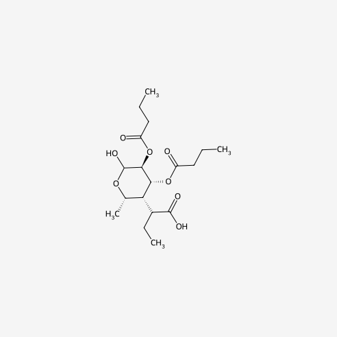 CCCC(=O)O[C@@H]1[C@H](C(CC)C(=O)O)[C@H](C)OC(O)[C@H]1OC(=O)CCC